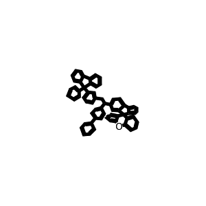 c1ccc(-c2ccc(C(Cc3cccc(C4(c5ccccc5)c5ccccc5-c5ccccc54)c3)c3ccc4c(c3)C3(c5ccccc5Oc5ccccc53)c3ccccc3-4)cc2)cc1